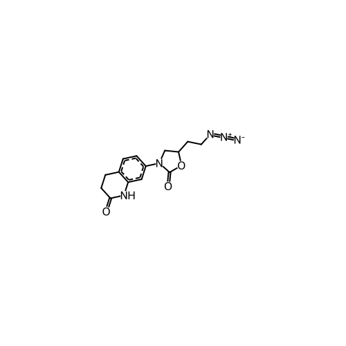 [N-]=[N+]=NCCC1CN(c2ccc3c(c2)NC(=O)CC3)C(=O)O1